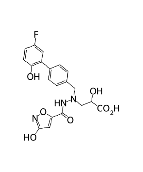 O=C(NN(Cc1ccc(-c2cc(F)ccc2O)cc1)CC(O)C(=O)O)c1cc(O)no1